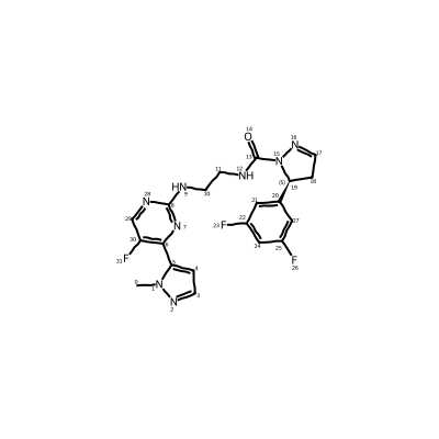 Cn1nccc1-c1nc(NCCNC(=O)N2N=CC[C@H]2c2cc(F)cc(F)c2)ncc1F